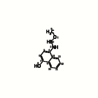 COBNc1ccc(O)c2ccccc12